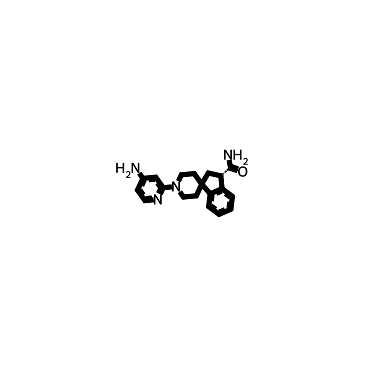 NC(=O)[C@H]1CC2(CCN(c3cc(N)ccn3)CC2)c2ccccc21